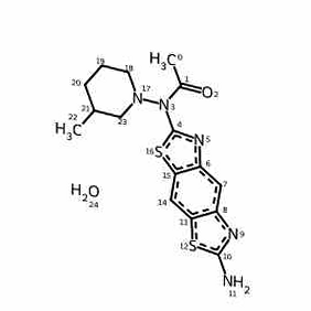 CC(=O)N(c1nc2cc3nc(N)sc3cc2s1)N1CCCC(C)C1.O